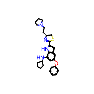 c1ccc(Oc2cc(NC3CCCC3)c3[nH]c(C4=N[C@@H](CCN5CCCC5)CS4)cc3c2)cc1